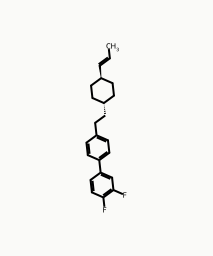 C/C=C/[C@H]1CC[C@H](CCc2ccc(-c3ccc(F)c(F)c3)cc2)CC1